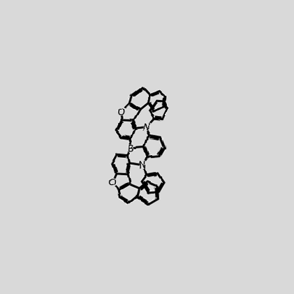 c1ccc(N2c3cccc4c3B(c3ccc5oc6ccc7ccccc7c6c5c32)c2ccc3oc5ccc6ccccc6c5c3c2N4c2ccccc2)cc1